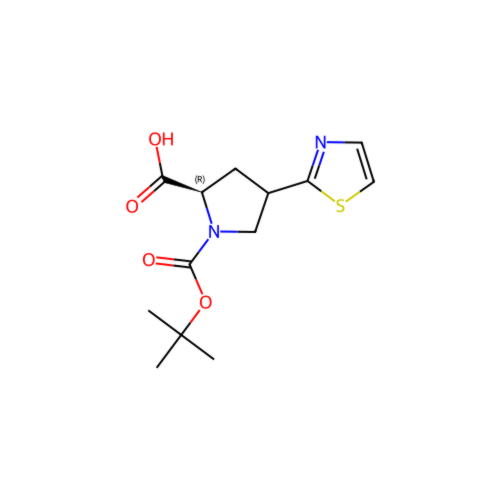 CC(C)(C)OC(=O)N1CC(c2nccs2)C[C@@H]1C(=O)O